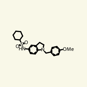 COc1ccc(CN2CCc3cc(NS(=O)(=O)C4CCCCC4)ccc32)cc1